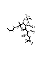 C/C=C\[C@H](C)[C@H]1OC1(C)[C@@H](O[Si](C)(C)C(C)(C)C)[C@@H](CO)C(=O)[C@@H](CO)[C@@H](O)CC(=O)CC